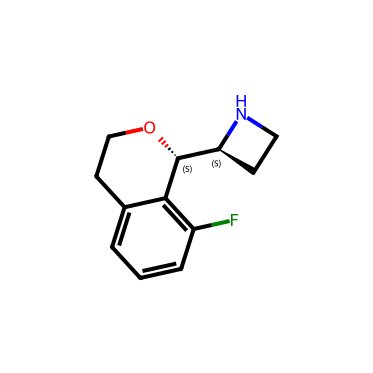 Fc1cccc2c1[C@@H]([C@@H]1CCN1)OCC2